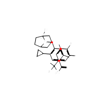 O=C(O)c1cc(C2CC2)c(CN2C3CC[C@@H]2C[C@H](Oc2cc(C(F)(F)F)cc(Cl)c2F)C3)cc1F